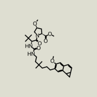 COC(=O)[C@@H]1C[C@H](OC)CN1C(=O)[C@@H](NC(=O)NCCC(C)(C)CCCc1cc2c(cc1OC)C=CC1CC21)C(C)(C)C